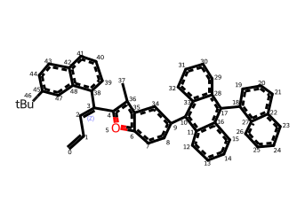 C=C/C=C(\c1oc2ccc(-c3c4ccccc4c(-c4cccc5ccccc45)c4ccccc34)cc2c1C)c1cccc2ccc(C(C)(C)C)cc12